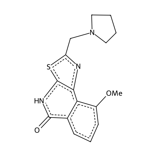 COc1cccc2c(=O)[nH]c3sc(CN4CCCC4)nc3c12